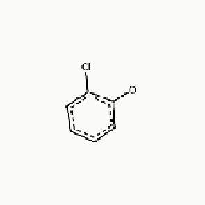 [O]c1ccccc1Cl